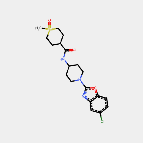 C[SH]1(=O)CCC(C(=O)NC2CCN(c3nc4cc(Cl)ccc4o3)CC2)CC1